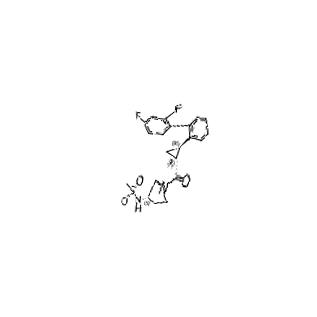 CS(=O)(=O)N[C@H]1CCN(C(=O)[C@@H]2C[C@H]2c2ccccc2-c2ccc(F)cc2F)C1